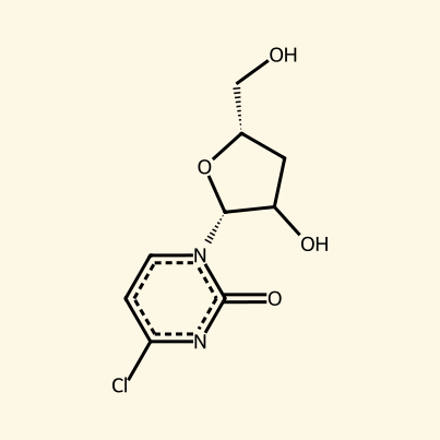 O=c1nc(Cl)ccn1[C@@H]1O[C@H](CO)CC1O